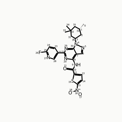 C[C@@H]1C[C@@H](n2ncc3c(NC(=O)c4ccc([N+](=O)[O-])s4)nc(-c4ccc(F)nc4)nc32)CC(C)(C)C1